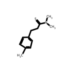 Cc1ccc(CCC(=S)N(C)C)cc1